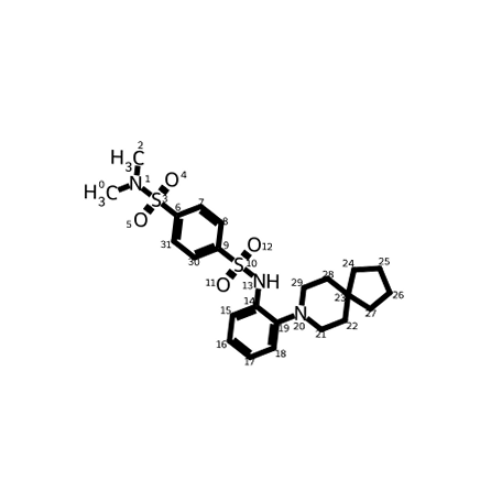 CN(C)S(=O)(=O)c1ccc(S(=O)(=O)Nc2ccccc2N2CCC3(CCCC3)CC2)cc1